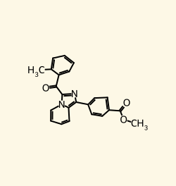 COC(=O)c1ccc(-c2nc(C(=O)c3ccccc3C)n3ccccc23)cc1